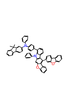 CC1(C)c2ccccc2-c2ccc(N(c3ccccc3)c3ccc(-c4cccc5c6c(-c7ccc8c(c7)oc7ccccc78)c7c(cc6n(-c6ccccc6)c45)oc4ccccc47)cc3)cc21